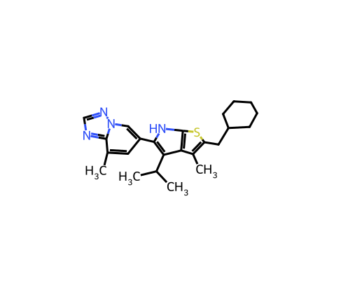 Cc1c(CC2CCCCC2)sc2[nH]c(-c3cc(C)c4ncnn4c3)c(C(C)C)c12